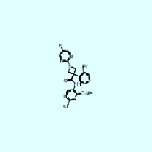 COc1cc(Cl)ncc1NC(=O)C1(c2ccccc2C(C)C)CN(c2ncc(F)cn2)C1